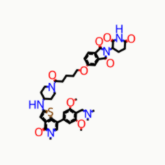 COc1cc(-c2cn(C)c(=O)c3cc(NC4CCN(C(=O)CCCCOc5ccc6c(c5)C(=O)N(C5CCC(=O)NC5=O)C6=O)CC4)sc23)cc(OC)c1CN(C)C